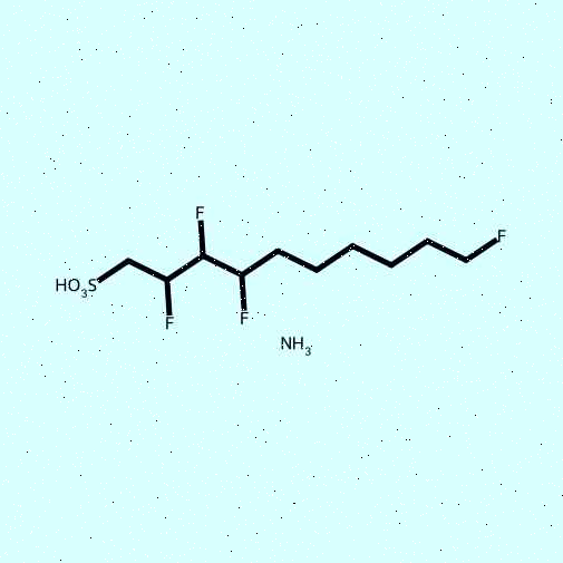 N.O=S(=O)(O)CC(F)C(F)C(F)CCCCCCF